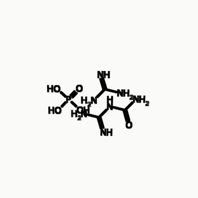 N=C(N)N.N=C(N)NC(N)=O.O=P(O)(O)O